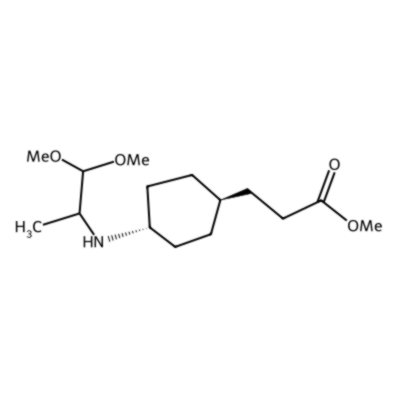 COC(=O)CC[C@H]1CC[C@H](NC(C)C(OC)OC)CC1